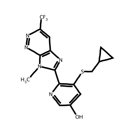 Cn1c(-c2ncc(O)cc2SCC2CC2)nc2cc(C(F)(F)F)nnc21